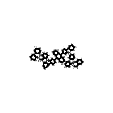 C1=Cc2ccccc2N(c2ccc(-n3c4ccccc4c4ccc(-c5c6ccccc6c(-c6ccc7c8ccccc8n(-c8cccc9c8C=CB(c8ccccc8)N9c8ccccc8)c7c6)c6ccccc56)cc43)cc2)B1c1ccccc1